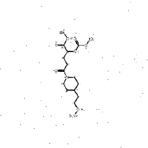 CC(C)(C)OC(=O)N[C@@H](CCC(=O)N1CCC(CCO[N+](=O)[O-])CC1)C(=O)OC(C)(C)C